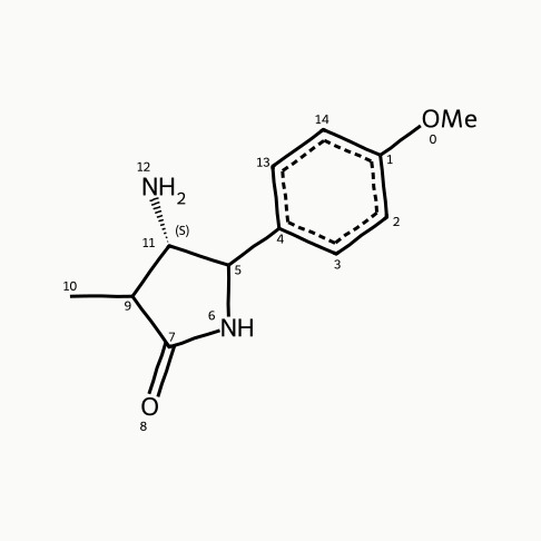 COc1ccc(C2NC(=O)C(C)[C@@H]2N)cc1